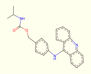 CC(C)NC(=O)OCc1ccc(Nc2c3ccccc3nc3ccccc23)cc1